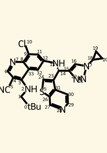 CC(C)(C)CNc1c(C#N)cnc2c(Cl)cc(N[C@H](c3cn(C4CC4)nn3)c3csc4cnccc34)cc12